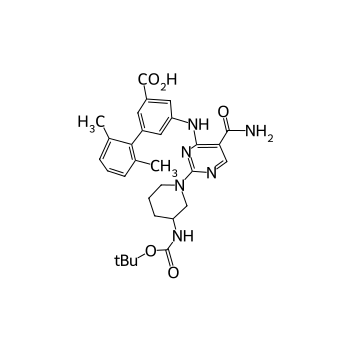 Cc1cccc(C)c1-c1cc(Nc2nc(N3CCCC(NC(=O)OC(C)(C)C)C3)ncc2C(N)=O)cc(C(=O)O)c1